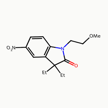 CCC1(CC)C(=O)N(CCOC)c2ccc([N+](=O)[O-])cc21